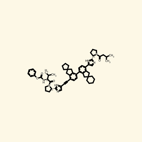 CC(C)CC(=O)N1CCC[C@H]1c1ncc(-c2ccc(-c3ccc(C#Cc4cnc([C@@H]5CCCN5C(=O)[C@@H](NC(=O)Oc5ccccc5)C(C)C)[nH]4)c4c3CC3(CCCC3)C4)c3c2CC2(CCCCC2)C3)[nH]1